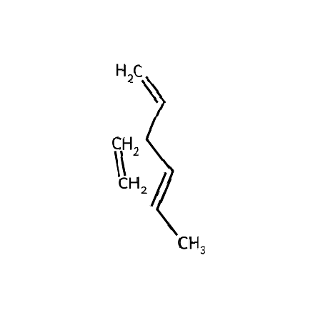 C=C.C=CCC=CC